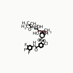 C[C@H]1CC2C[C@@H](S(=O)(=O)c3cc(C(=O)Nc4cc(F)c(F)c(F)c4)ccc3Cl)C[C@H]1[C@@]2(O)CC(O)C(O)CNC(=O)C(C)(C)C